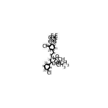 CC(C)(C)OC(=O)N(CCc1ccc(OS(=O)(=O)C(F)(F)F)c(Cl)c1)C[C@@H](O)c1cccc(Cl)c1